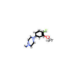 CC(C)Oc1cc(N2CCN(C)CC2)ccc1F